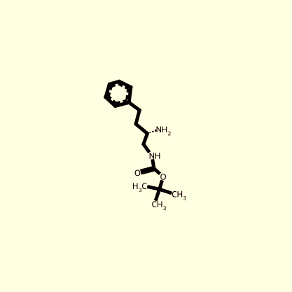 CC(C)(C)OC(=O)NC[C@@H](N)CCc1ccccc1